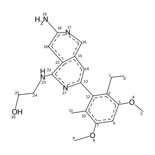 CCc1c(OC)cc(OC)c(C)c1-c1cc2cnc(N)cc2c(NCCO)n1